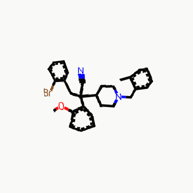 COc1ccccc1C(C#N)(Cc1ccccc1Br)C1CCN(Cc2ccccc2C)CC1